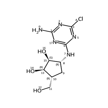 Nc1nc(Cl)nc(N[C@@H]2C[C@H](CO)[C@@H](O)[C@H]2O)n1